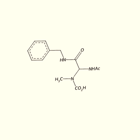 CC(=O)NC(C(=O)NCc1ccccc1)N(C)C(=O)O